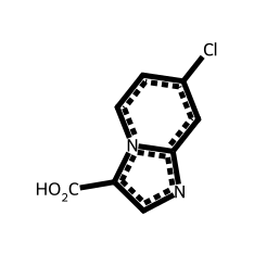 O=C(O)c1cnc2cc(Cl)ccn12